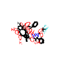 CC(=O)O[C@@]12CO[C@@H]1C[C@H](O)[C@@]1(C)C(=O)[C@H](O)C3=C(C)[C@@H](OC(=O)[C@H](O)[C@@H](NC(=O)OC(C)(C)C(F)(F)F)c4ccccc4)C[C@@](O)([C@@H](OC(=O)c4ccccc4)[C@H]21)C3(C)C